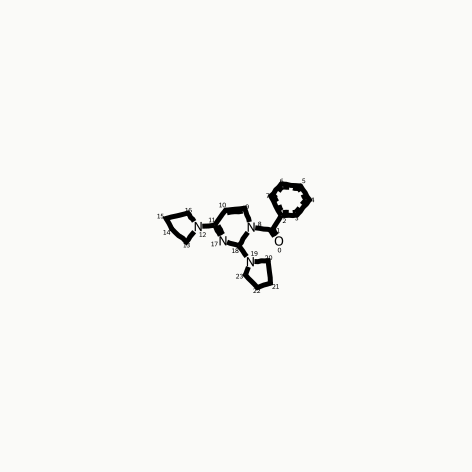 O=C(c1ccccc1)N1[C]=CC(N2CCCC2)=NC1N1CCCC1